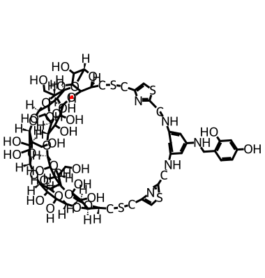 OC[C@H]1O[C@@H]2O[C@H]3C(O)C(O)[C@H](O[C@@H]3CO)O[C@H]3C(O)C(O)[C@@H](O[C@H]4[C@H](O)C(O)[C@@H]5O[C@@H]4CSCc4csc(n4)CNc4cc(cc(NCc6ccc(O)cc6O)c4)NCc4nc(cs4)CSC[C@H]4O[C@H](O[C@H]1C(O)C2O)C(O)C(O)[C@@H]4O[C@@H]1O[C@H](CO)[C@@H](O[C@H]2O[C@H](CO)[C@@H](O5)C(O)C2O)C(O)C1O)O[C@@H]3CO